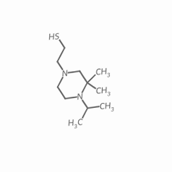 CC(C)N1CCN(CCS)CC1(C)C